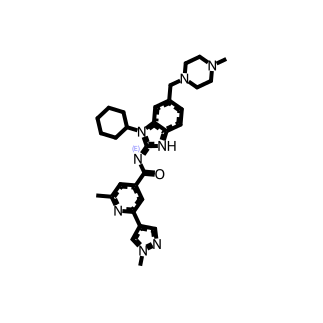 Cc1cc(C(=O)/N=c2\[nH]c3ccc(CN4CCN(C)CC4)cc3n2C2CCCCC2)cc(-c2cnn(C)c2)n1